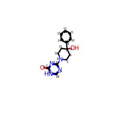 O=c1nc(N2CCC(O)(c3ccccc3)CC2)nc[nH]1